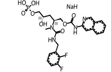 CN(C(=O)NCc1cccc(F)c1F)[C@H](COC(=O)Nc1cc2ccccc2cn1)C[C@H](O)COP(=O)(O)O.[NaH]